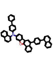 c1ccc(-c2ccc(N(c3ccc4c(c3)oc3c5ccccc5c(-c5ccc(-c6cccc7ccccc67)cc5)cc43)c3cccc4ccccc34)cc2)cc1